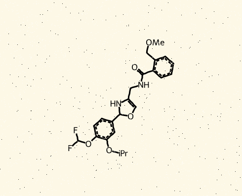 COCc1ccccc1C(=O)NCC1=COC(c2ccc(OC(F)F)c(OC(C)C)c2)N1